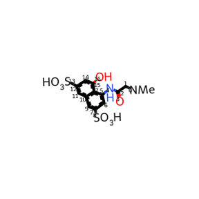 CNCC(=O)Nc1cc(S(=O)(=O)O)cc2cc(S(=O)(=O)O)cc(O)c12